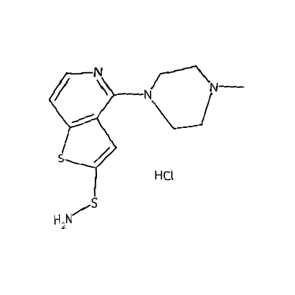 CN1CCN(c2nccc3sc(SN)cc23)CC1.Cl